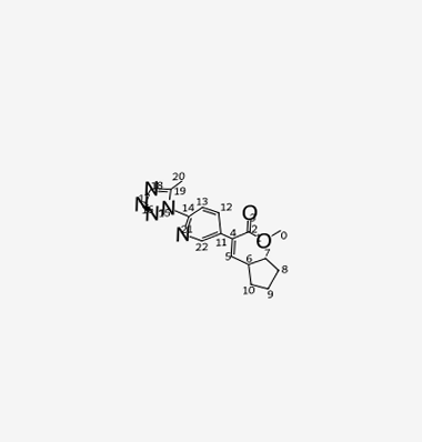 COC(=O)C(=CC1CCCC1)c1ccc(-n2nnnc2C)nc1